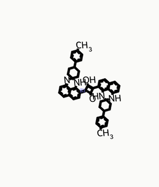 Cc1ccc(C2CCC3(CC2)N=c2cccc4cc/c(=C5\C(=O)C(c6ccc7cccc8c7c6NC6(CCC(c7ccc(C)cc7)CC6)N8)=C5O)c(c24)N3)cc1